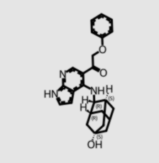 O=C(COc1ccccc1)c1cnc2[nH]ccc2c1N[C@H]1[C@@H]2CC3C[C@H]1C[C@@](O)(C3)C2